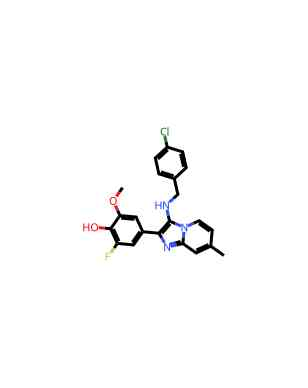 COc1cc(-c2nc3cc(C)ccn3c2NCc2ccc(Cl)cc2)cc(F)c1O